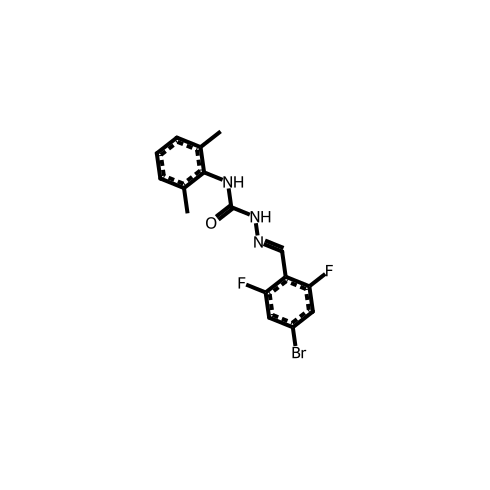 Cc1cccc(C)c1NC(=O)N/N=C/c1c(F)cc(Br)cc1F